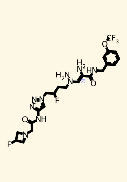 N/C(=C\N(N)CCC(F)Cn1cc(NC(=O)CN2CC(F)C2)nn1)C(=O)NCc1cccc(OC(F)(F)F)c1